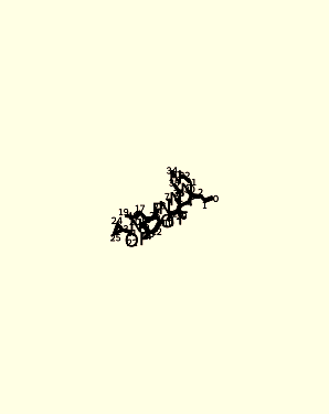 C=C/C=C(\Cc1ncnc(Oc2cc(F)c3c(cc(C)n3C(=O)C3CC3)c2F)c1F)N1CCN(C)CC1